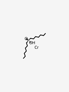 CCCCCCCP(=O)(O)CCCCCCC.[Cr]